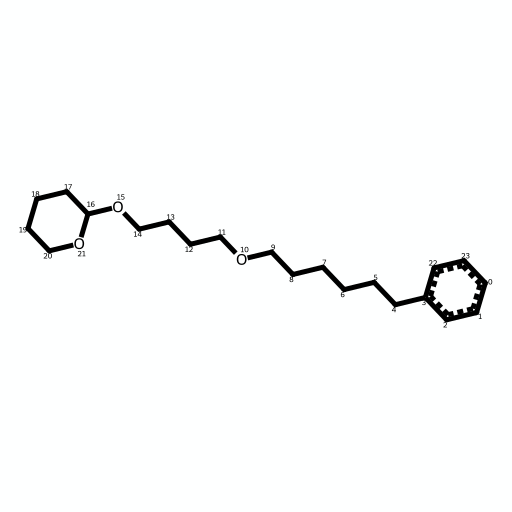 c1ccc(CCCCCCOCCCCOC2CCCCO2)cc1